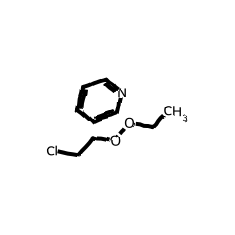 CCOOCCCl.c1ccncc1